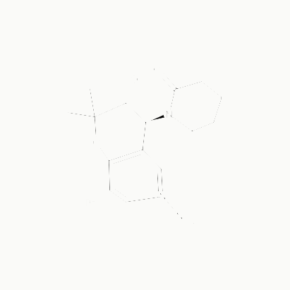 CC1(C)Oc2cc[n+](N)cc2[C@H](N2CCCCC2=O)[C@H]1O.[Br-]